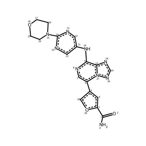 NC(=O)c1cc(-c2cnc(Nc3cnc(N4CCOCC4)nc3)c3ncnn23)co1